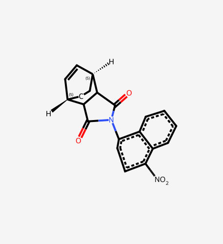 O=C1C2C(C(=O)N1c1ccc([N+](=O)[O-])c3ccccc13)[C@@H]1C=C[C@@H]2CC1